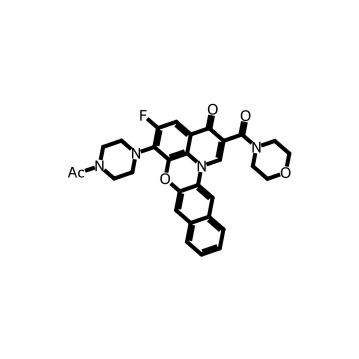 CC(=O)N1CCN(c2c(F)cc3c(=O)c(C(=O)N4CCOCC4)cn4c3c2Oc2cc3ccccc3cc2-4)CC1